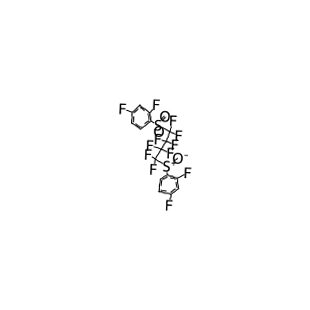 O=S(=O)(c1ccc(F)cc1F)C(F)(F)C(F)(F)C(F)(F)C(F)(F)[S+]([O-])c1ccc(F)cc1F